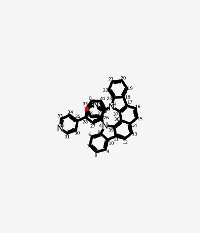 c1ccc(-n2c3ccccc3c3ccc4ccc5c6ccccc6n(-c6ccc(-c7ccncc7)cn6)c5c4c32)cc1